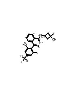 Cc1cc(C(F)(F)F)cc(O)c1-c1nnc(NC2CC(C)(O)C2)c2ccccc12